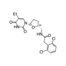 CCc1cn([C@@H]2CC[C@H](CNC(=O)Cc3c(Cl)cccc3Cl)O2)c(=O)[nH]c1=O